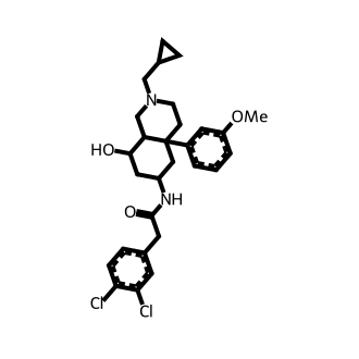 COc1cccc(C23CCN(CC4CC4)CC2C(O)CC(NC(=O)Cc2ccc(Cl)c(Cl)c2)C3)c1